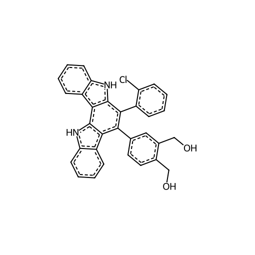 OCc1ccc(-c2c(-c3ccccc3Cl)c3[nH]c4ccccc4c3c3[nH]c4ccccc4c23)cc1CO